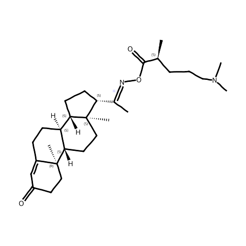 C/C(=N\OC(=O)[C@@H](C)CCCN(C)C)[C@H]1CC[C@H]2[C@@H]3CCC4=CC(=O)CC[C@]4(C)[C@H]3CC[C@]12C